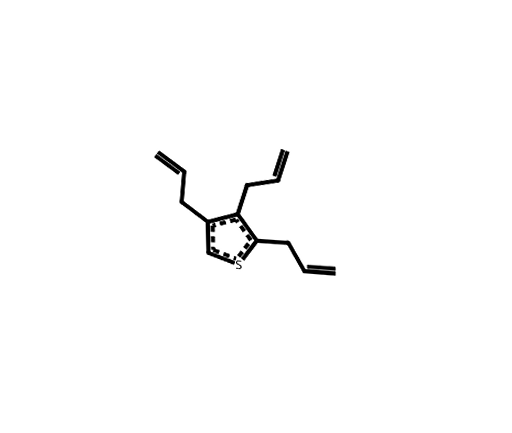 C=CCc1csc(CC=C)c1CC=C